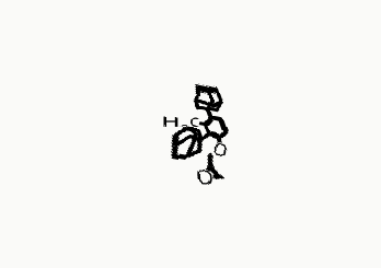 Cc1c(C23CC4CC(CC(C4)C2)C3)ccc(OCC2CO2)c1C12CC3CC(CC(C3)C1)C2